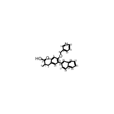 CC(Cc1ccc(OCc2cccnc2)c(-c2ccc3ccccc3c2)c1)C(=O)O